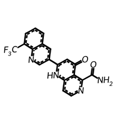 NC(=O)c1nccc2[nH]c(-c3cnc4c(C(F)(F)F)cccc4c3)cc(=O)c12